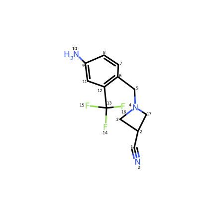 N#CC1CN(Cc2ccc(N)cc2C(F)(F)F)C1